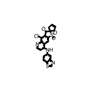 O=C1c2c(cc3c(Nc4ccc5scnc5c4)ccnc3c2Cl)S(=O)(=O)C12CC=CC2